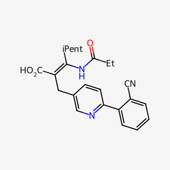 CCCC(C)C(NC(=O)CC)=C(Cc1ccc(-c2ccccc2C#N)nc1)C(=O)O